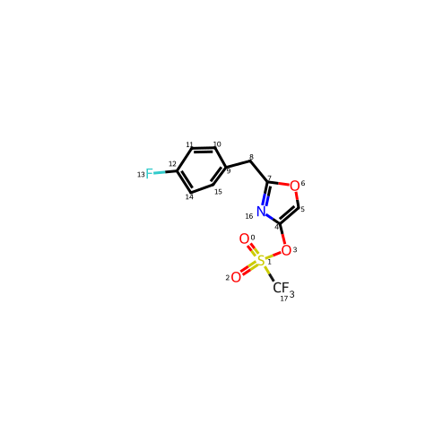 O=S(=O)(Oc1coc(Cc2ccc(F)cc2)n1)C(F)(F)F